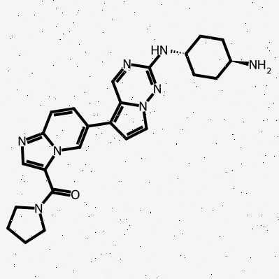 N[C@H]1CC[C@H](Nc2ncc3c(-c4ccc5ncc(C(=O)N6CCCC6)n5c4)ccn3n2)CC1